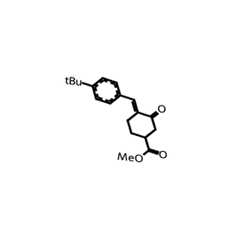 COC(=O)C1CC/C(=C\c2ccc(C(C)(C)C)cc2)C(=O)C1